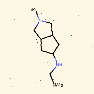 CNCNC1CC2CN(C(C)C)CC2C1